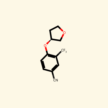 N#Cc1ccc(O[C@H]2CCOC2)c(C(F)(F)F)c1